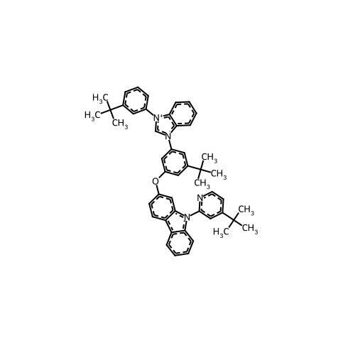 CC(C)(C)c1cc(Oc2ccc3c4ccccc4n(-c4cc(C(C)(C)C)ccn4)c3c2)cc(-n2c[n+](-c3cccc(C(C)(C)C)c3)c3ccccc32)c1